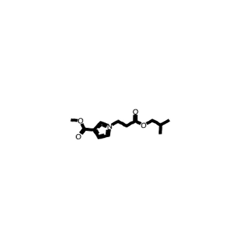 COC(=O)c1ccn(CCC(=O)OCC(C)C)c1